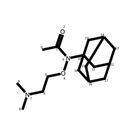 CC(=O)N(OCCN(C)C)C12CC3CC(CC(C3)C1)C2